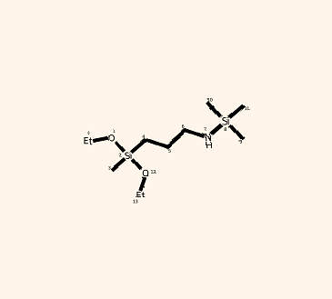 CCO[Si](C)(CCCN[Si](C)(C)C)OCC